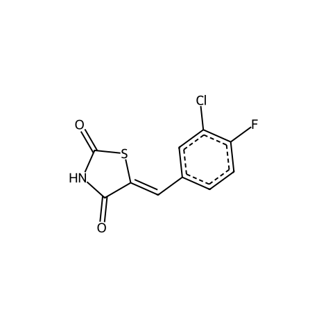 O=C1NC(=O)C(=Cc2ccc(F)c(Cl)c2)S1